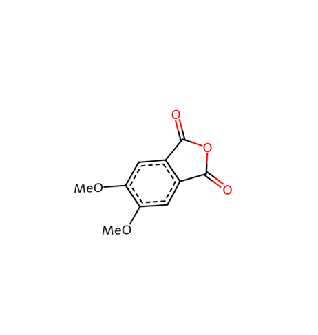 COc1cc2c(cc1OC)C(=O)OC2=O